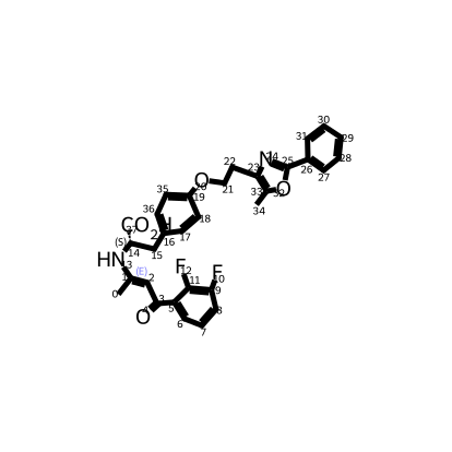 C/C(=C\C(=O)c1cccc(F)c1F)N[C@@H](Cc1ccc(OCCc2nc(-c3ccccc3)oc2C)cc1)C(=O)O